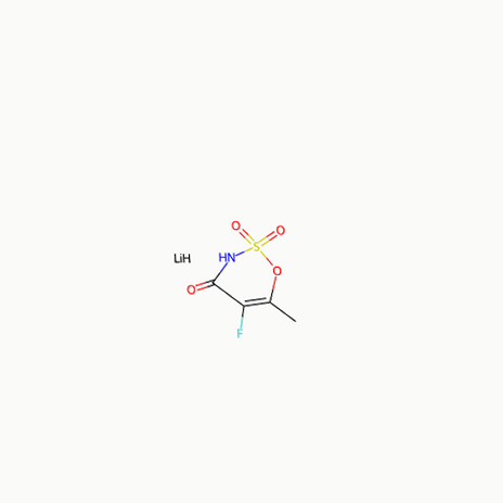 CC1=C(F)C(=O)NS(=O)(=O)O1.[LiH]